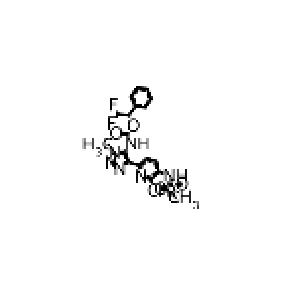 Cc1nc(-c2nnn(C)c2NC(=O)O[C@@H](c2ccccc2)C(F)F)ccc1NS(C)(=O)=O